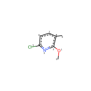 COc1nc(Cl)ccc1C